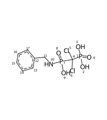 O=P(O)(O)C(Cl)(Cl)P(=O)(O)NCc1ccccc1